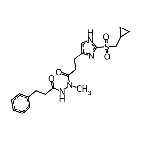 CN(NC(=O)CCc1ccccc1)C(=O)CCc1c[nH]c(S(=O)(=O)CC2CC2)n1